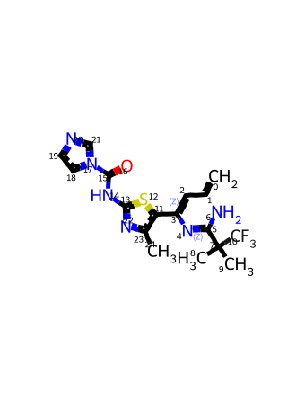 C=C/C=C(\N=C(/N)C(C)(C)C(F)(F)F)c1sc(NC(=O)n2ccnc2)nc1C